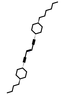 CCCCCC[C@H]1CC[C@H](C#C/C=C/C#C[C@H]2CC[C@H](CCCC)CC2)CC1